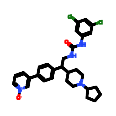 O=C(NCC(c1ccc(-c2ccc[n+]([O-])c2)cc1)C1CCN(C2CCCC2)CC1)Nc1cc(Cl)cc(Cl)c1